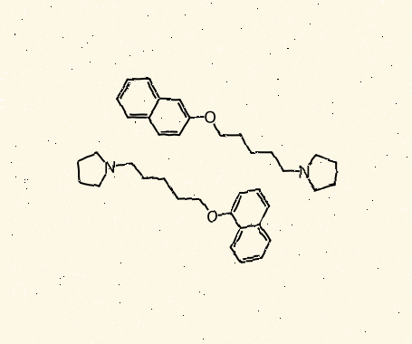 c1ccc2c(OCCCCCN3CCCC3)cccc2c1.c1ccc2cc(OCCCCCN3CCCC3)ccc2c1